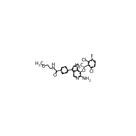 COCCNC(=O)c1ccc(-c2coc3c(O[C@H](C)c4c(Cl)ccc(F)c4Cl)c(N)ncc23)cc1